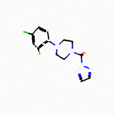 O=C(N1CCN(c2ccc(Cl)cc2Cl)CC1)n1nccn1